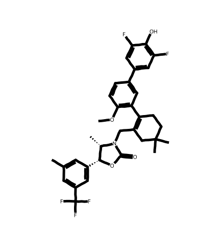 COc1ccc(-c2cc(F)c(O)c(F)c2)cc1C1=C(CN2C(=O)O[C@H](c3cc(C)cc(C(F)(F)F)c3)[C@@H]2C)CC(C)(C)CC1